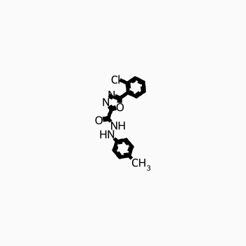 Cc1ccc(NNC(=O)c2nnc(-c3ccccc3Cl)o2)cc1